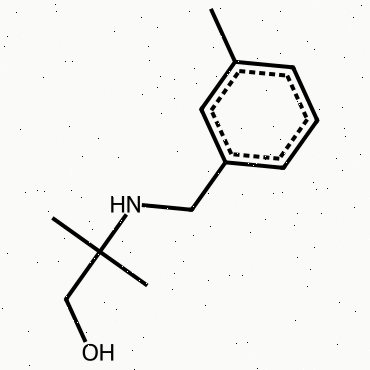 Cc1cccc(CNC(C)(C)CO)c1